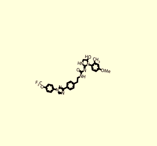 COc1ccc(N2/C(=N/C(=O)NCCc3ccc(-c4ncn(-c5ccc(OC(F)(F)F)cc5)n4)cc3)NCC2O)c(C)c1